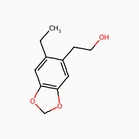 CCc1cc2c(cc1CCO)OCO2